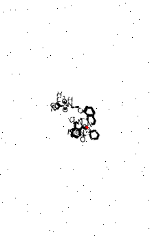 CNC(=O)[C@H]1CCCC[C@H]1C(=O)N1CCc2cccc(OCCNS(=O)(=O)c3cnoc3C)c2[C@H]1CN1C(=O)c2ccccc2C1=O